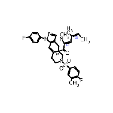 C=N/C(=C\C(C)=C/C)C(=O)[C@]12Cc3cnn(-c4ccc(F)cc4)c3C=C1CCN(S(=O)(=O)c1ccc(F)c(C)c1)C2